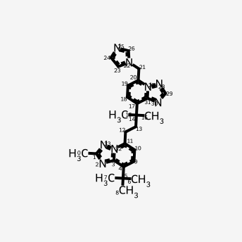 Cc1nc2c(C(C)(C)C)ccc(CCC(C)(C)c3ccc(Cn4ccnc4)n4ncnc34)n2n1